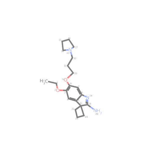 CCOc1cc2c(cc1OCCCN1CCCC1)N=C(N)C21CCC1